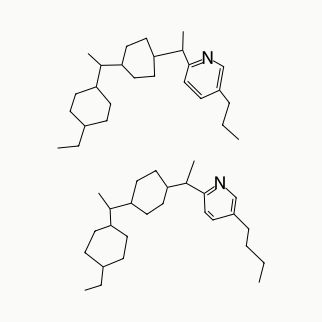 CCCCc1ccc(C(C)C2CCC(C(C)C3CCC(CC)CC3)CC2)nc1.CCCc1ccc(C(C)C2CCC(C(C)C3CCC(CC)CC3)CC2)nc1